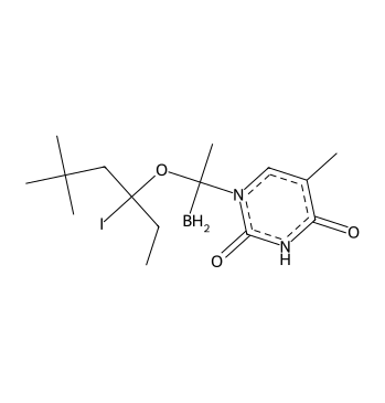 BC(C)(OC(I)(CC)CC(C)(C)C)n1cc(C)c(=O)[nH]c1=O